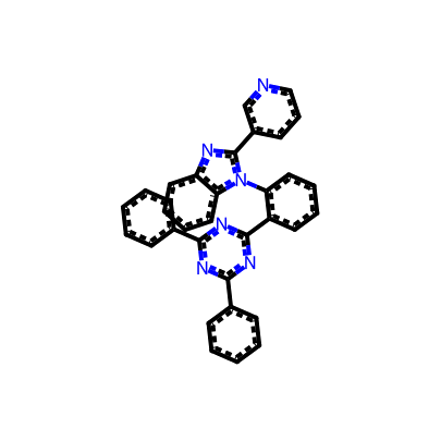 c1ccc(-c2nc(-c3ccccc3)nc(-c3ccccc3-n3c(-c4cccnc4)nc4ccccc43)n2)cc1